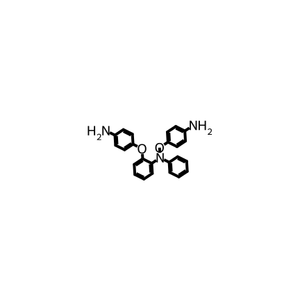 Nc1ccc(Oc2ccccc2N(Oc2ccc(N)cc2)c2ccccc2)cc1